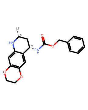 CC[C@@H]1C[C@H](NC(=O)OCc2ccccc2)c2cc3c(cc2N1)OCCO3